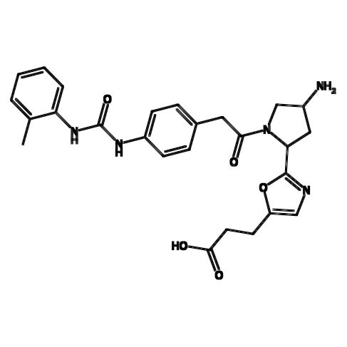 Cc1ccccc1NC(=O)Nc1ccc(CC(=O)N2CC(N)CC2c2ncc(CCC(=O)O)o2)cc1